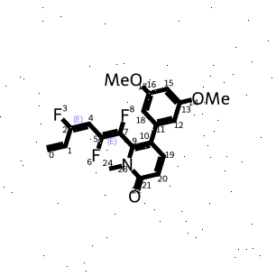 C=C/C(F)=C\C(F)=C(/F)c1c(-c2cc(OC)cc(OC)c2)ccc(=O)n1C